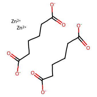 O=C([O-])CCCCC(=O)[O-].O=C([O-])CCCCC(=O)[O-].[Zn+2].[Zn+2]